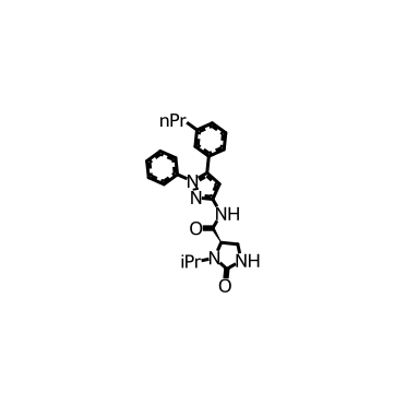 CCCc1cccc(-c2cc(NC(=O)[C@H]3CNC(=O)N3C(C)C)nn2-c2ccccc2)c1